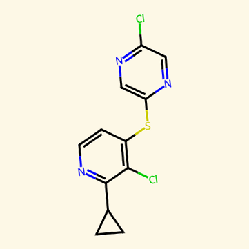 Clc1cnc(Sc2ccnc(C3CC3)c2Cl)cn1